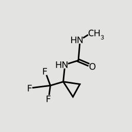 CNC(=O)NC1(C(F)(F)F)CC1